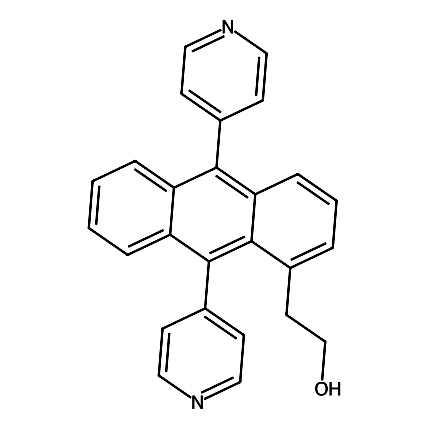 OCCc1cccc2c(-c3ccncc3)c3ccccc3c(-c3ccncc3)c12